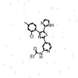 CCC(=O)Nc1cc(-c2nc(-c3ccc(C)cc3Cl)c(-c3ncc[nH]3)s2)ccn1